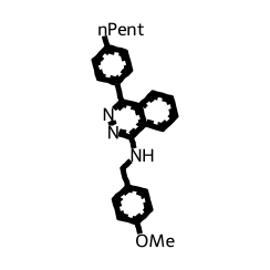 CCCCCc1ccc(-c2nnc(NCc3ccc(OC)cc3)c3ccccc23)cc1